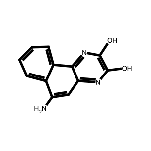 Nc1cc2nc(O)c(O)nc2c2ccccc12